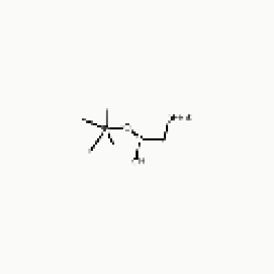 CCCCCCP(O)OP(C)(C)(C)C